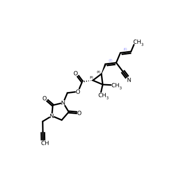 C#CCN1CC(=O)N(COC(=O)[C@@H]2[C@@H](/C=C(C#N)/C=C/C)C2(C)C)C1=O